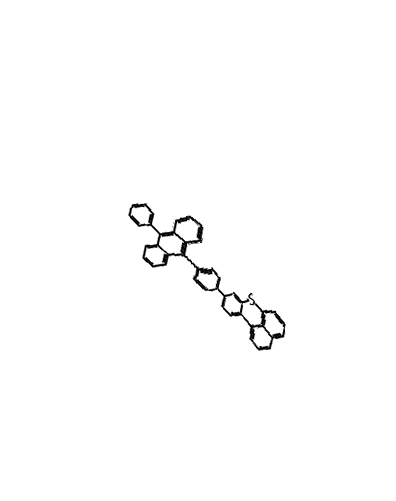 c1ccc(-c2c3ccccc3c(-c3ccc(-c4ccc5c(c4)Sc4cccc6cccc-5c46)cc3)c3ccccc23)cc1